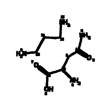 NC(=O)CC(N)C(=O)O.NCCCN